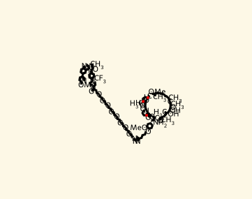 COc1ccc(-c2ccc3ncc4c(c3c2)n(-c2ccc(N3CCN(C(=O)CCOCCOCCOCCOCCOCCOCCOCCOCCn5cc(CCCCO[C@@H]6CC[C@@H](C[C@@H](N)[C@@H]7CC(=O)[C@H](C)/C=C(\C)[C@@H](O)[C@@H](O)C(=O)[C@H](C)C[C@H](C)/C=C/C=C/C=C(\C)[C@@H](OC)C[C@@H]8CC[C@@H](C)[C@@](O)(O8)C(=O)C(=O)N8CCCC[C@H]8C(=O)O7)C[C@H]6OC)nn5)CC3)c(C(F)(F)F)c2)c(=O)n4C)cn1